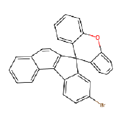 Brc1ccc2c(c1)C1(c3ccccc3Oc3ccccc31)c1ccc3ccccc3c1-2